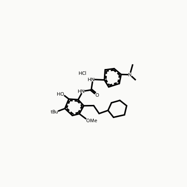 COc1cc(C(C)(C)C)c(O)c(NC(=O)Nc2ccc(N(C)C)cc2)c1CCC1CCCCC1.Cl